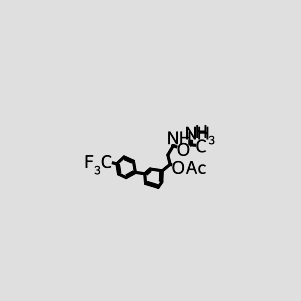 CC(=N)OC(=N)CC(OC(C)=O)c1cccc(-c2ccc(C(F)(F)F)cc2)c1